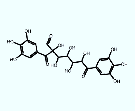 O=CC(O)(C(=O)c1cc(O)c(O)c(O)c1)C(O)C(O)C(O)C(O)C(=O)c1cc(O)c(O)c(O)c1